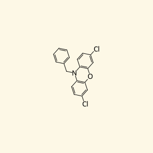 Clc1ccc2c(c1)Oc1cc(Cl)ccc1N2Cc1ccccc1